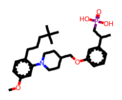 COc1ccc(CCCC(C)(C)C)c(N2CCC(COc3cccc(C(C)CP(=O)(O)O)c3)CC2)c1